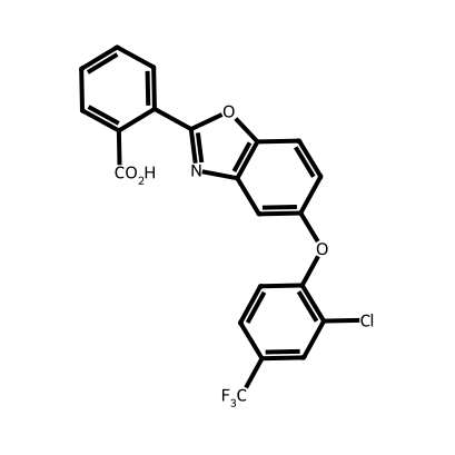 O=C(O)c1ccccc1-c1nc2cc(Oc3ccc(C(F)(F)F)cc3Cl)ccc2o1